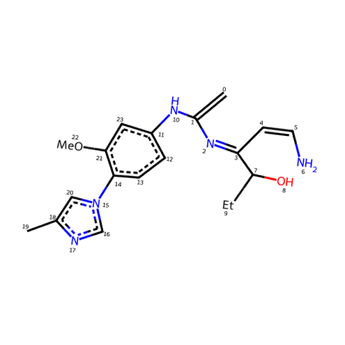 C=C(/N=C(\C=C/N)C(O)CC)Nc1ccc(-n2cnc(C)c2)c(OC)c1